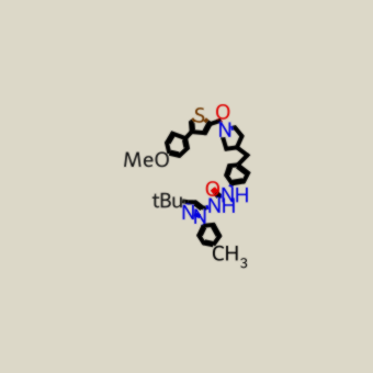 COc1ccc(-c2csc(C(=O)N3CCC(Cc4ccc(NC(=O)Nc5cc(C(C)(C)C)nn5-c5ccc(C)cc5)cc4)CC3)c2)cc1